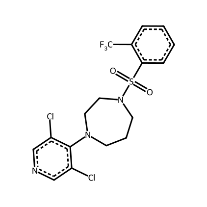 O=S(=O)(c1ccccc1C(F)(F)F)N1CCCN(c2c(Cl)cncc2Cl)CC1